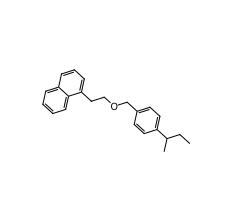 CCC(C)c1ccc(COCCc2cccc3ccccc23)cc1